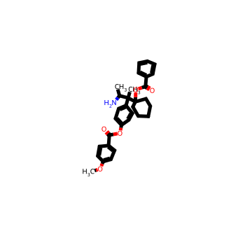 COc1ccc(C(=O)Oc2ccc(C(C)(C(C)N)C3(OC(=O)c4ccccc4)CCCCC3)cc2)cc1